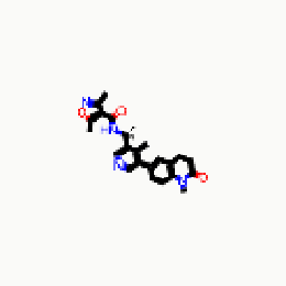 Cc1noc(C)c1C(=O)N[C@H](C)c1cncc(-c2ccc3c(c2)CCC(=O)N3C)c1C